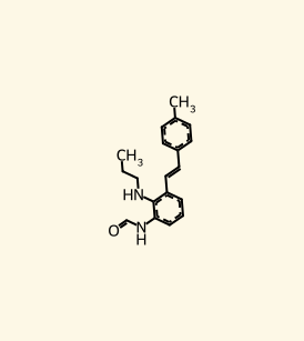 CCCNc1c(/C=C/c2ccc(C)cc2)cccc1NC=O